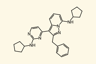 c1ccc(Cc2nn3c(NC4CCCC4)cccc3c2-c2ccnc(NC3CCCC3)n2)cc1